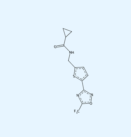 O=C(NCc1ccc(-c2noc(C(F)(F)F)n2)s1)C1CC1